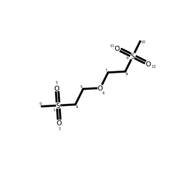 CS(=O)(=O)CCOCCS(C)(=O)=O